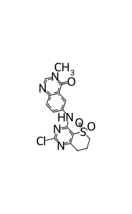 Cn1cnc2ccc(Nc3nc(Cl)nc4c3S(=O)(=O)CCC4)cc2c1=O